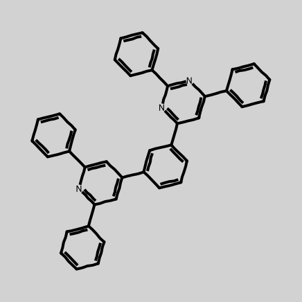 c1ccc(-c2cc(-c3cccc(-c4cc(-c5ccccc5)nc(-c5ccccc5)n4)c3)cc(-c3ccccc3)n2)cc1